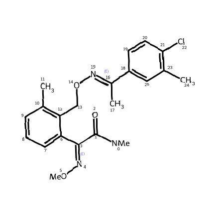 CNC(=O)/C(=N/OC)c1cccc(C)c1CO/N=C(\C)c1ccc(Cl)c(C)c1